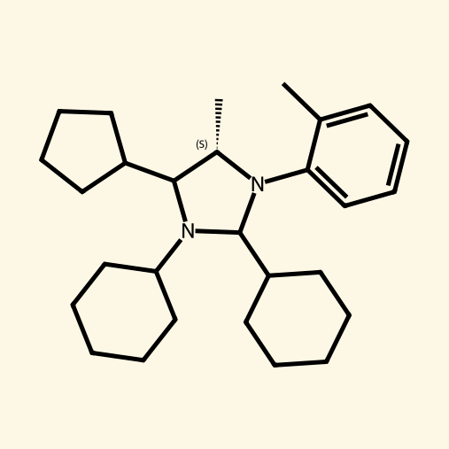 Cc1ccccc1N1C(C2CCCCC2)N(C2CCCCC2)C(C2CCCC2)[C@@H]1C